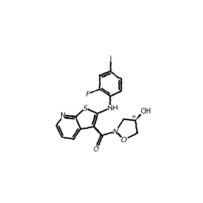 O=C(c1c(Nc2ccc(I)cc2F)sc2ncccc12)N1C[C@@H](O)CO1